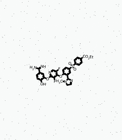 CCOC(=O)c1ccc(S(=O)(=O)c2ccc(Oc3c(F)cnc(Oc4cc(C(=N)N)ccc4O)c3F)c(C3N=CCN3C)c2)cc1